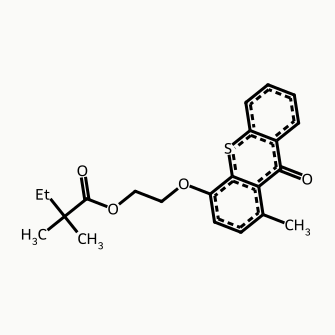 CCC(C)(C)C(=O)OCCOc1ccc(C)c2c(=O)c3ccccc3sc12